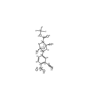 CC(C)(C)OC(=O)N1C[C@@H]2C[C@H]1CN2c1ccc([N+](=O)[O-])c(C#N)c1